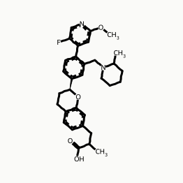 COc1cc(-c2ccc([C@@H]3CCc4ccc(CC(C)C(=O)O)cc4O3)cc2CN2CCCCC2C)c(F)cn1